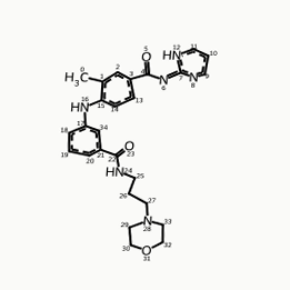 Cc1cc(C(=O)N=c2nccc[nH]2)ccc1Nc1cccc(C(=O)NCCCN2CCOCC2)c1